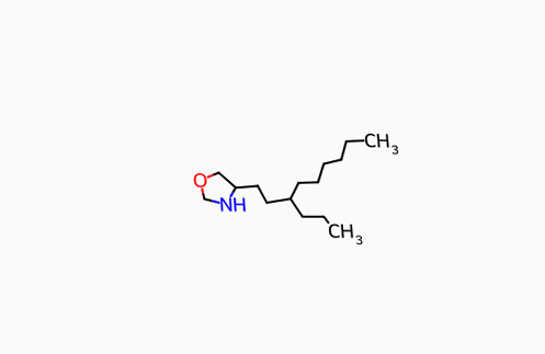 CCCCCCC(CCC)CCC1COCN1